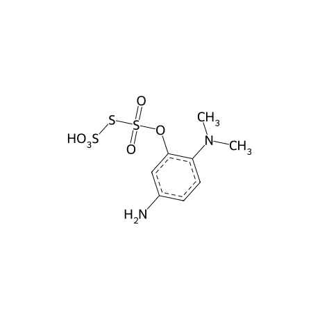 CN(C)c1ccc(N)cc1OS(=O)(=O)SS(=O)(=O)O